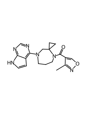 Cc1nocc1C(=O)N1CCCN(c2ncnc3[nH]ccc23)CC12CC2